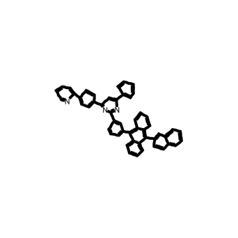 c1ccc(-c2cc(-c3ccc(-c4ccccn4)cc3)nc(-c3cccc(-c4c5ccccc5c(-c5ccc6ccccc6c5)c5ccccc45)c3)n2)cc1